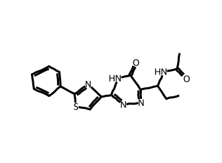 CCC(NC(C)=O)c1nnc(-c2csc(-c3ccccc3)n2)[nH]c1=O